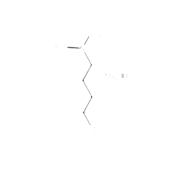 CN(C)CCCCCl.Cl.N